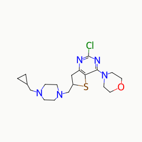 Clc1nc2c(c(N3CCOCC3)n1)SC(CN1CCN(CC3CC3)CC1)C2